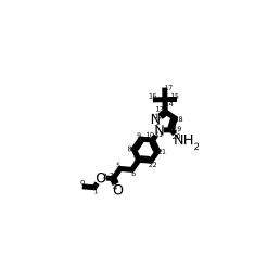 CCOC(=O)CCc1ccc(-n2nc(C(C)(C)C)cc2N)cc1